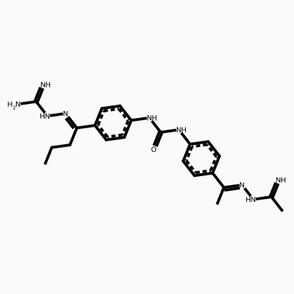 CCC/C(=N\NC(=N)N)c1ccc(NC(=O)Nc2ccc(/C(C)=N/NC(C)=N)cc2)cc1